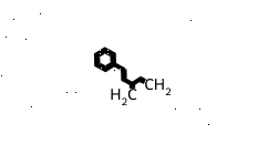 C=CC(=C)C=Cc1ccccc1